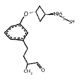 CC(C=O)CCc1cccc(O[C@H]2C[C@H](NSS)C2)c1